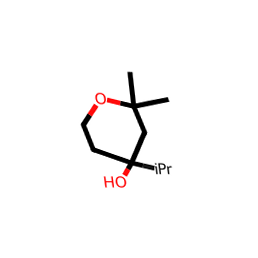 CC(C)C1(O)CCOC(C)(C)C1